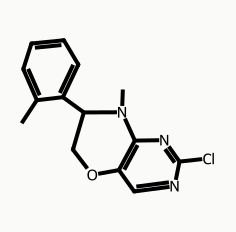 Cc1ccccc1C1COc2cnc(Cl)nc2N1C